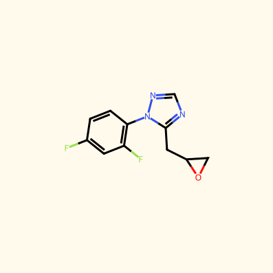 Fc1ccc(-n2ncnc2CC2CO2)c(F)c1